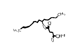 CCCCCCC(CCCCC)OC(=O)CCC(=O)O